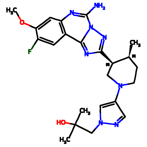 COc1cc2nc(N)n3nc([C@@H]4CN(c5cnn(CC(C)(C)O)c5)CC[C@H]4C)nc3c2cc1F